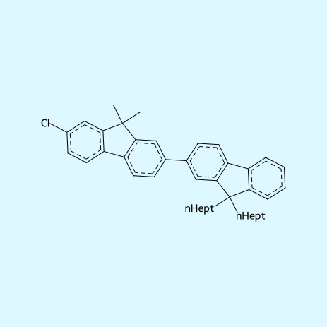 CCCCCCCC1(CCCCCCC)c2ccccc2-c2ccc(-c3ccc4c(c3)C(C)(C)c3cc(Cl)ccc3-4)cc21